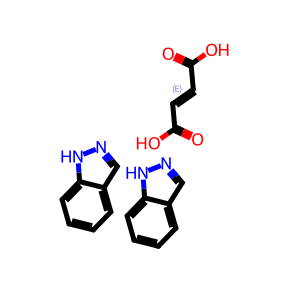 O=C(O)/C=C/C(=O)O.c1ccc2[nH]ncc2c1.c1ccc2[nH]ncc2c1